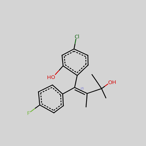 C/C(=C(\c1ccc(F)cc1)c1ccc(Cl)cc1O)C(C)(C)O